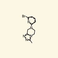 Cc1nnc2n1CCN(c1cccc(Br)n1)C2